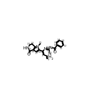 C=C/C=C(\N=C(/N)NC(=O)c1ccccc1)c1cc2c(n1C)CCNC2=O